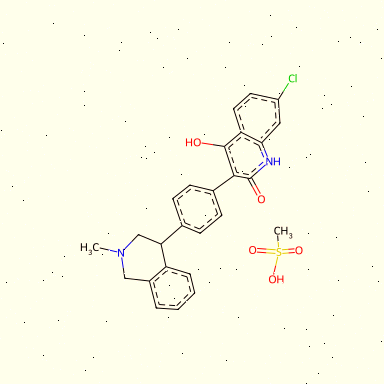 CN1Cc2ccccc2C(c2ccc(-c3c(O)c4ccc(Cl)cc4[nH]c3=O)cc2)C1.CS(=O)(=O)O